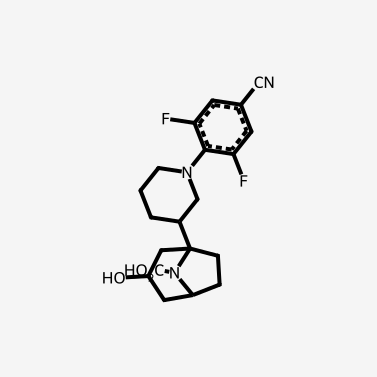 N#Cc1cc(F)c(N2CCCC(C34CCC(CC(O)C3)N4C(=O)O)C2)c(F)c1